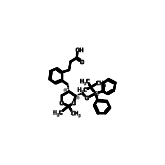 CC1(C)OC[C@H](Cc2ccccc2CCC(=O)O)[C@H](CO[Si](c2ccccc2)(c2ccccc2)C(C)(C)C)O1